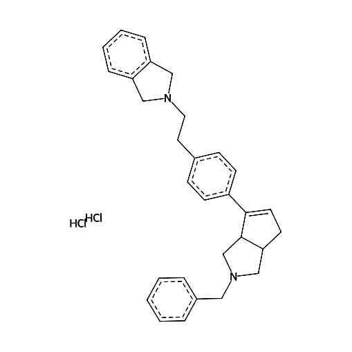 C1=C(c2ccc(CCN3Cc4ccccc4C3)cc2)C2CN(Cc3ccccc3)CC2C1.Cl.Cl